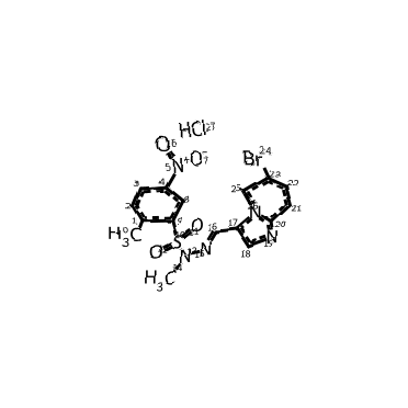 Cc1ccc([N+](=O)[O-])cc1S(=O)(=O)N(C)/N=C/c1cnc2ccc(Br)cn12.Cl